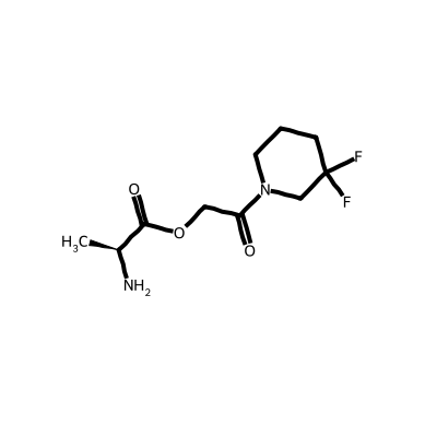 C[C@H](N)C(=O)OCC(=O)N1CCCC(F)(F)C1